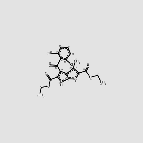 CCOC(=O)c1[nH]c2sc(C(=O)OCC)c(C)c2c1C(=O)c1c(Cl)cccc1Cl